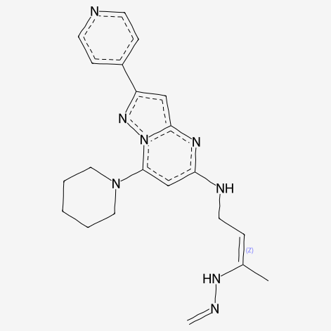 C=NN/C(C)=C\CNc1cc(N2CCCCC2)n2nc(-c3ccncc3)cc2n1